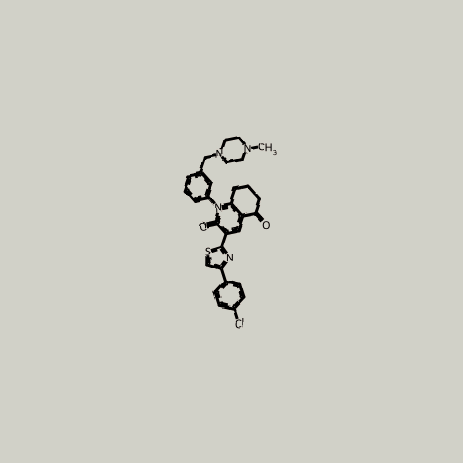 CN1CCN(Cc2cccc(-n3c4c(cc(-c5nc(-c6ccc(Cl)cc6)cs5)c3=O)C(=O)CCC4)c2)CC1